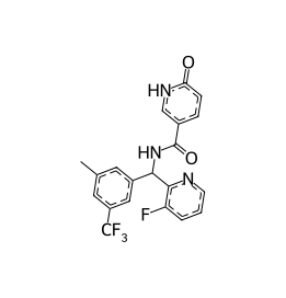 Cc1cc(C(NC(=O)c2ccc(=O)[nH]c2)c2ncccc2F)cc(C(F)(F)F)c1